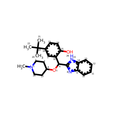 CN1CCC(OC(c2nc3ccccc3[nH]2)c2cc(C(C)(C)C)ccc2O)CC1